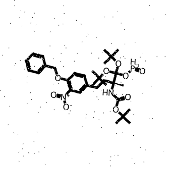 CC(C)(C)OC(=O)N[C@](C)(CCc1ccc(OCc2ccccc2)c([N+](=O)[O-])c1)C(O[PH2]=O)(OC(C)(C)C)OC(C)(C)C